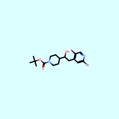 CC(C)(C)OC(=O)N1CCC(C(O)Cc2cc(Br)ncc2I)CC1